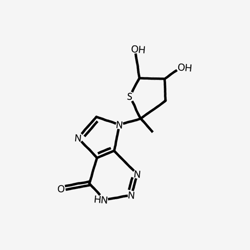 CC1(n2cnc3c(=O)[nH]nnc32)CC(O)C(O)S1